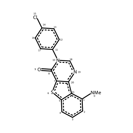 CNc1cccc2sc3c(=O)n(-c4ccc(Cl)cc4)cnc3c12